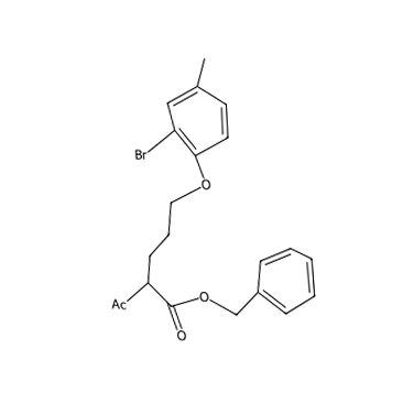 CC(=O)C(CCCOc1ccc(C)cc1Br)C(=O)OCc1ccccc1